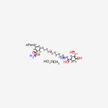 CC(=O)O.CCCCCc1cc(CCCCOCCCCCCNC[C@H](O)c2ccc(O)c(CO)c2)cc(S(N)(=O)=O)c1